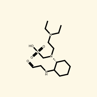 CCN(CC)CCN(CS(=O)(=O)O)[C@@H]1CCCCC1NCC=O